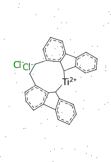 [Cl-].[Cl-].c1ccc2c(c1)-c1cccc3c1[CH]2[Ti+2][CH]1c2ccccc2-c2cccc(c21)CC3